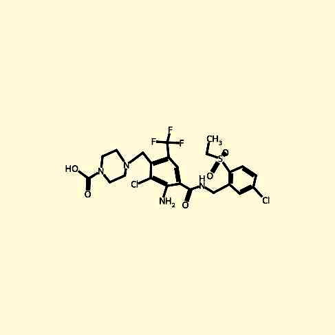 CCS(=O)(=O)c1ccc(Cl)cc1CNC(=O)c1cc(C(F)(F)F)c(CN2CCN(C(=O)O)CC2)c(Cl)c1N